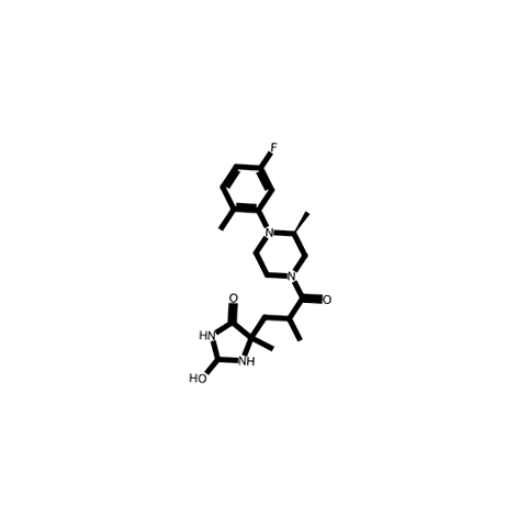 Cc1ccc(F)cc1N1CCN(C(=O)C(C)CC2(C)NC(O)NC2=O)C[C@@H]1C